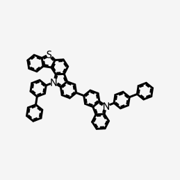 c1ccc(-c2ccc(-n3c4ccccc4c4cc(-c5ccc6c(c5)c5ccc7sc8ccccc8c7c5n6-c5cccc(-c6ccccc6)c5)ccc43)cc2)cc1